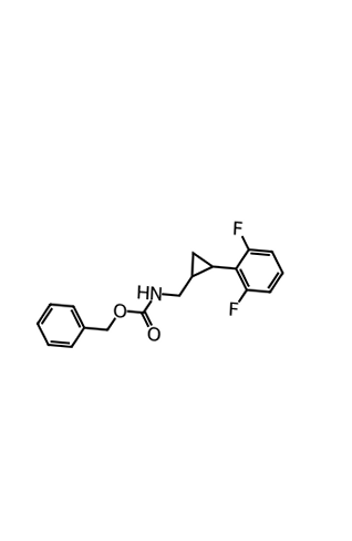 O=C(NCC1CC1c1c(F)cccc1F)OCc1ccccc1